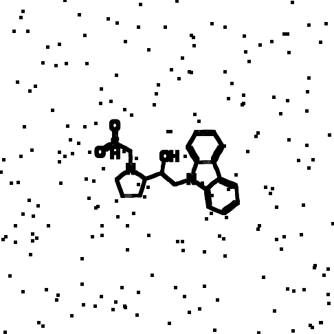 O=[SH](=O)CN1CCCC1C(O)Cn1c2ccccc2c2ccccc21